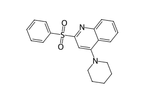 O=S(=O)(c1ccccc1)c1cc(N2CCCCC2)c2ccccc2n1